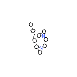 c1ccc(-c2ccc(C(Cc3ccc(-c4ccc5c6ccccc6n(-c6ccccc6)c5c4)cc3)c3ccc4c(c3)c3ccccc3n4-c3ccccc3)cc2)cc1